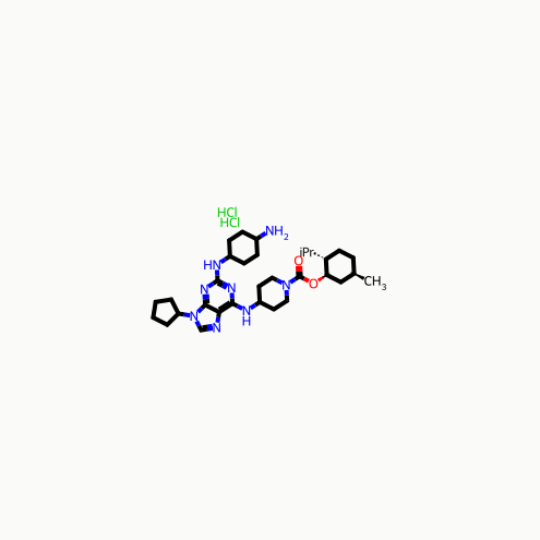 CC(C)[C@@H]1CC[C@@H](C)C[C@H]1OC(=O)N1CCC(Nc2nc(NC3CCC(N)CC3)nc3c2ncn3C2CCCC2)CC1.Cl.Cl